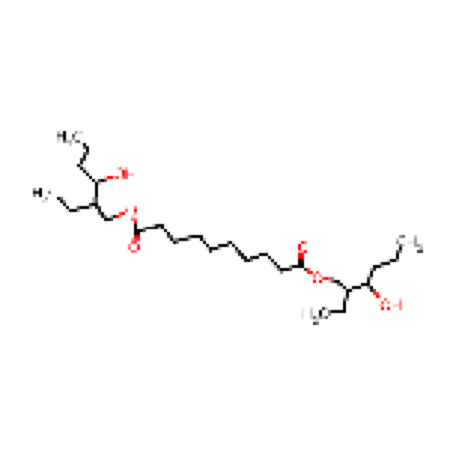 CCCC(O)C(CC)COC(=O)CCCCCCCCC(=O)OCC(CC)C(O)CCC